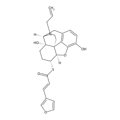 C=CCN1CC[C@]23c4c5ccc(O)c4O[C@H]2[C@H](SC(=O)/C=C/c2ccoc2)CC[C@@]3(O)[C@H]1C5